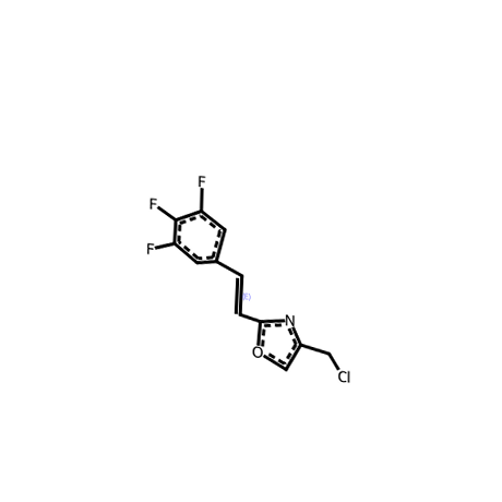 Fc1cc(/C=C/c2nc(CCl)co2)cc(F)c1F